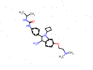 CC(C)NC(=O)Nc1ccc(C2C(N)c3ccc(OCCN(C)C)cc3N2C2CCC2)cc1